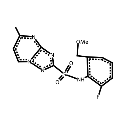 COCc1cccc(F)c1NS(=O)(=O)c1nc2nc(C)ccn2n1